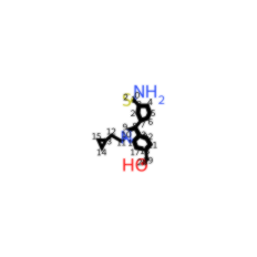 NC(=S)c1cccc(-c2cn(CCC3CC3)c3cc(CO)ccc23)c1